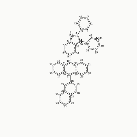 c1ccc(-c2nc3ccc(-c4c5ccccc5c(-c5ccc6ccccc6c5)c5ccccc45)cc3n2-c2cccnc2)cc1